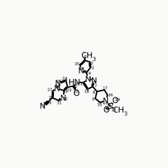 Cc1ccc(-n2nc(C3CCN(S(C)(=O)=O)CC3)cc2NC(=O)c2cnn3cc(C#N)cnc23)nc1